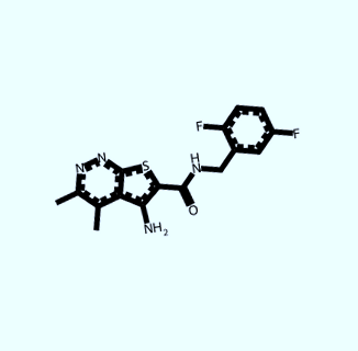 Cc1nnc2sc(C(=O)NCc3cc(F)ccc3F)c(N)c2c1C